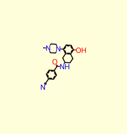 CN1CCN(c2ccc(O)c3c2CC(NC(=O)c2ccc(C#N)cc2)CC3)CC1